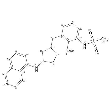 COc1c(CN2CCC(Nc3cccc4cnccc34)C2)cccc1NS(C)(=O)=O